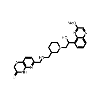 COc1cnc2cccc(C(O)CN3CCCC(CNCc4ccc5c(n4)NC(=O)CS5)C3)c2n1